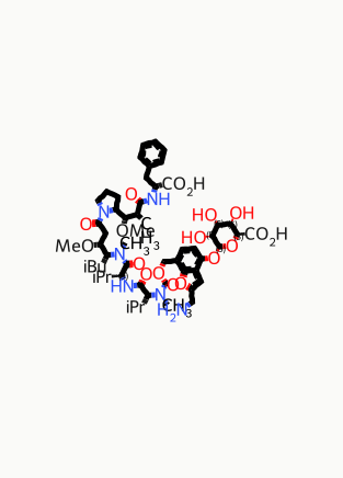 CCC(C)C(C(CC(=O)N1CCCC1C(OC)C(C)C(=O)NC(Cc1ccccc1)C(=O)O)OC)N(C)C(=O)[C@@H](NC(=O)C(C(C)C)N(C)C(=O)OCc1ccc(O[C@@H]2O[C@H](C(=O)O)[C@@H](O)[C@H](O)[C@H]2O)c2cc(CN)oc12)C(C)C